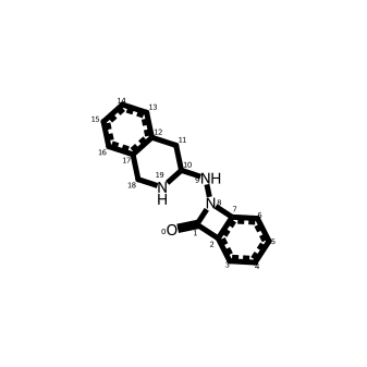 O=C1c2ccccc2N1NC1Cc2ccccc2CN1